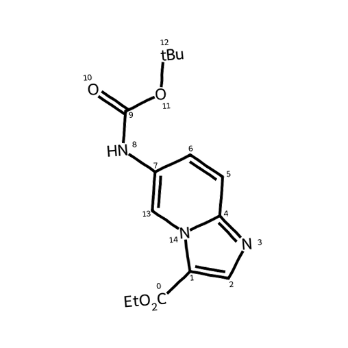 CCOC(=O)c1cnc2ccc(NC(=O)OC(C)(C)C)cn12